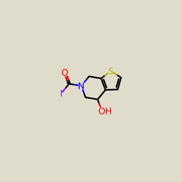 O=C(I)N1Cc2sccc2C(O)C1